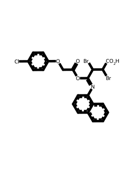 O=C(COc1ccc(Cl)cc1)OC(=Nc1cccc2ccccc12)C(Br)C(Br)C(=O)O